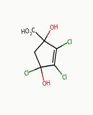 O=C(O)C1(O)CC(O)(Cl)C(Cl)=C1Cl